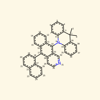 CC1(C)c2ccccc2N(c2c3ccccc3c(-c3cccc4ccccc34)c3ccncc23)c2ccccc21